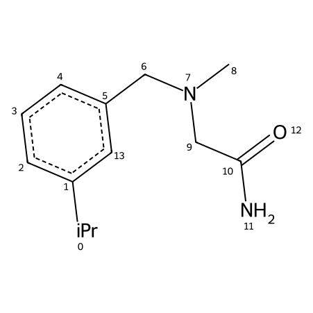 CC(C)c1cccc(CN(C)CC(N)=O)c1